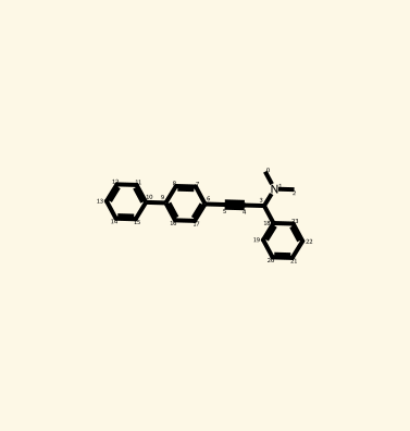 CN(C)C(C#Cc1ccc(-c2ccccc2)cc1)c1ccccc1